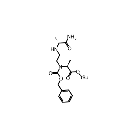 C[C@@H](NCCN(C(=O)OCc1ccccc1)[C@@H](C)C(=O)OC(C)(C)C)C(N)=O